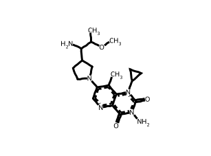 COC(C)C(N)C1CCN(c2cnc3c(=O)n(N)c(=O)n(C4CC4)c3c2C)C1